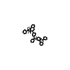 c1ccc(-c2nc3c(-c4ccc(N(c5ccccc5)c5ccc6c(c5)c5ccccc5n6-c5ccccc5)cc4)cc4ccccc4c3o2)cc1